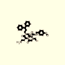 NCC[C@H]1C(=O)N(CCC(c2ccccc2)c2ccccc2)C[C@H]2N1C(=O)CN(CI)N2C(=O)NCc1ccc(OCl)cc1